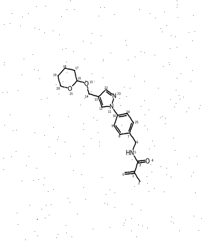 C=C(C)C(=O)NCc1ccc(-n2cc(COC3CCCCO3)cn2)cc1